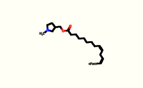 CCCCC/C=C\C/C=C\CCCCCCCC(=O)OCC1CCN(C)C1